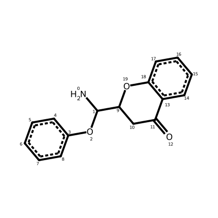 NC(Oc1ccccc1)C1CC(=O)c2ccccc2O1